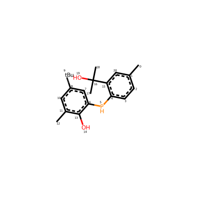 Cc1ccc(Pc2cc(C(C)(C)C)cc(C)c2O)c(C(C)(C)O)c1